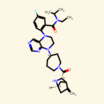 C=C1C[C@@H]2CC1[C@@H](C(=O)N1CCC[C@@H](N3CCN(c4ccc(F)cc4C(=O)N(CC)C(C)C)c4cncnc43)CC1)N2